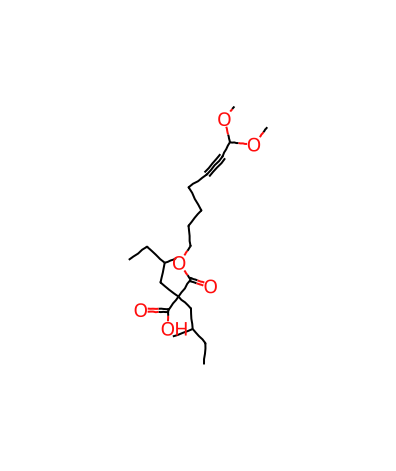 CCC(C)CC(CC(C)CC)(C(=O)O)C(=O)OCCCCC#CC(OC)OC